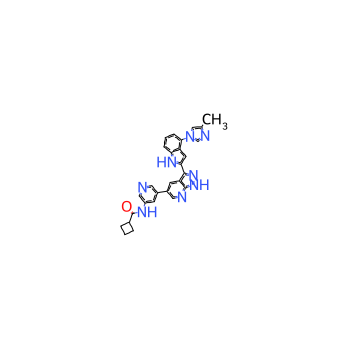 Cc1cn(-c2cccc3[nH]c(-c4n[nH]c5ncc(-c6cncc(NC(=O)C7CCC7)c6)cc45)cc23)cn1